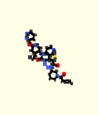 C=CC(=O)N1CCC[C@@H](NC(=O)c2sc3nccc4c3c2NC(=O)N4c2cnc(Oc3cccnn3)cc2C)C1